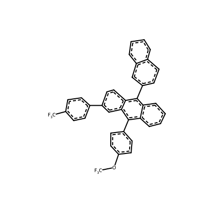 FC(F)(F)Oc1ccc(-c2c3ccccc3c(-c3ccc4ccccc4c3)c3ccc(-c4ccc(C(F)(F)F)cc4)cc23)cc1